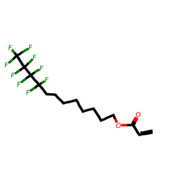 C=CC(=O)OCCCCCCCCC(F)(F)C(F)(F)C(F)(F)C(F)(F)F